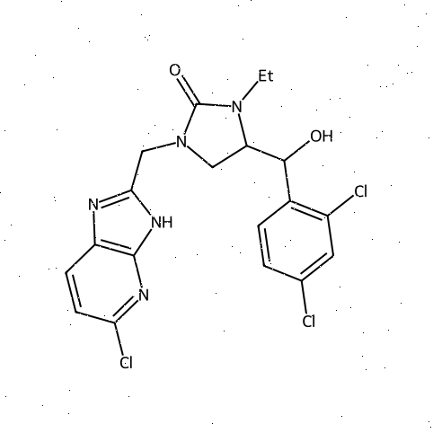 CCN1C(=O)N(Cc2nc3ccc(Cl)nc3[nH]2)CC1C(O)c1ccc(Cl)cc1Cl